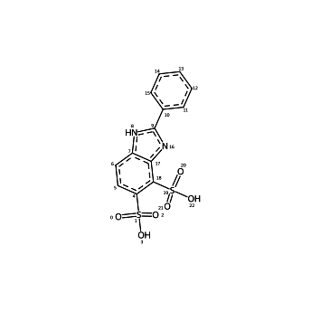 O=S(=O)(O)c1ccc2[nH]c(-c3ccccc3)nc2c1S(=O)(=O)O